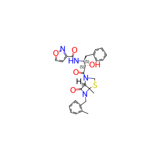 Cc1ccccc1CN1C(=O)[C@H]2N(C(=O)[C@@H](O)[C@H](Cc3ccccc3)NC(=O)c3ccon3)CSC21C